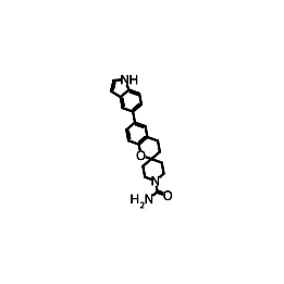 NC(=O)N1CCC2(CCc3cc(-c4ccc5[nH]ccc5c4)ccc3O2)CC1